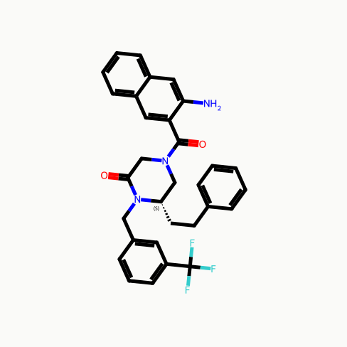 Nc1cc2ccccc2cc1C(=O)N1CC(=O)N(Cc2cccc(C(F)(F)F)c2)[C@@H](CCc2ccccc2)C1